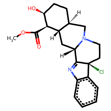 COC(=O)[C@@H]1[C@H]2C[C@H]3C4=Nc5ccccc5[C@@]4(Cl)CCN3C[C@@H]2CC[C@@H]1O